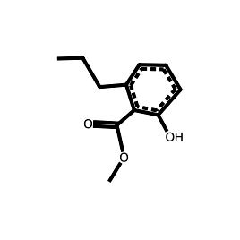 CCCc1cccc(O)c1C(=O)OC